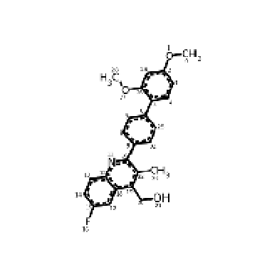 COc1ccc(-c2ccc(-c3nc4ccc(F)cc4c(CO)c3C)cc2)c(OC)c1